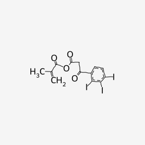 C=C(C)C(=O)OC(=O)CC(=O)c1ccc(I)c(I)c1I